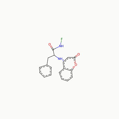 NC(Cc1ccccc1)C(=O)NF.O=c1ccc2ccccc2o1